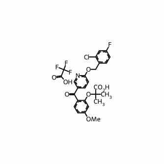 COc1ccc(C(=O)c2ccc(OCc3ccc(F)cc3Cl)nc2)c(OC(C)(C)C(=O)O)c1.O=C(O)C(F)(F)F